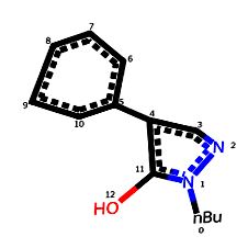 CCCCn1ncc(-c2ccccc2)c1O